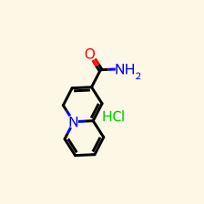 Cl.NC(=O)C1=CCN2C=CC=CC2=C1